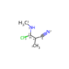 CN[C@H](Cl)C(C)C#N